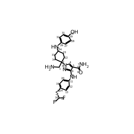 NCC1(n2cc(C(N)=O)c(Nc3ccc(SC(F)F)cc3)n2)CCC(Nc2ccc(O)cc2)CC1